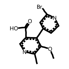 COc1c(C)ncc(C(=O)O)c1-c1ccnc(Br)c1